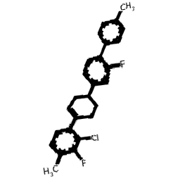 Cc1ccc(-c2ccc(C3CC=C(c4ccc(C)c(F)c4Cl)CC3)cc2F)cc1